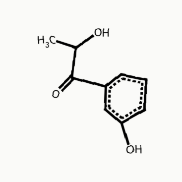 CC(O)C(=O)c1cccc(O)c1